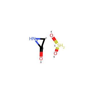 O=C1CN1.O=[SH2]=O